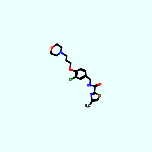 Cc1csc(C(=O)NCc2ccc(OCCCN3CCOCC3)c(Cl)c2)n1